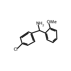 COc1ccccc1C(N)c1ccc(Cl)cc1